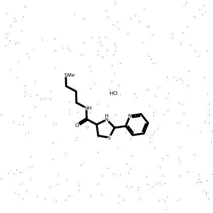 CSCCCNC(=O)C1CSC(c2ccccn2)N1.Cl